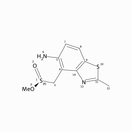 CO[S@@](=O)Cc1c(N)ccc2sc(C)nc12